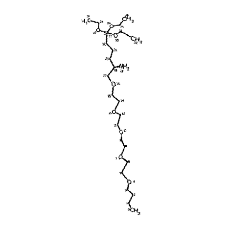 CCCCOCCOCCOCCOCCOCC(N)CCC[Si](OCC)(OCC)OCC